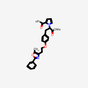 CCCC(=O)c1cccn1C(Cc1ccc(OCCc2nc(-c3ccccc3)oc2C)cc1)C(=O)OC